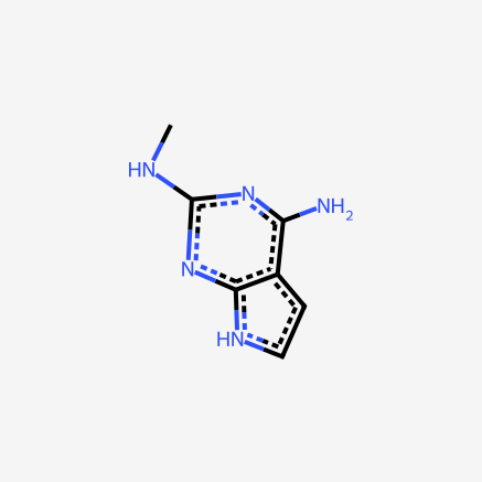 CNc1nc(N)c2cc[nH]c2n1